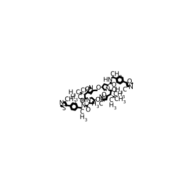 Cc1cc([C@H](C(=O)N2C[C@H](OCc3cc([C@H](C(=O)N4C[C@H](O)C[C@H]4C(=O)N[C@@H](C)c4ccc(-c5scnc5C)cc4)C(C)(C)C)on3)C[C@H]2C(=O)N[C@@H](C)c2ccc(-c3ocnc3C)cc2)C(C)(C)C)on1